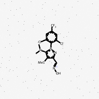 CSc1c(/C=N/O)nn(-c2c(Cl)cc(C(F)(F)F)cc2Cl)c1N(C)C